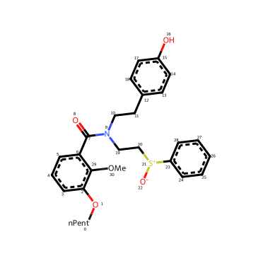 CCCCCOc1cccc(C(=O)N(CCc2ccc(O)cc2)CC[S+]([O-])c2ccccc2)c1OC